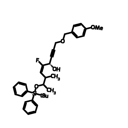 COc1ccc(COCC#C[C@H](O)/C(F)=C\C(C)C(C)O[Si](c2ccccc2)(c2ccccc2)C(C)(C)C)cc1